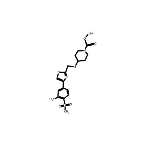 Cc1cc(-c2noc(COC3CCN(C(=O)OC(C)(C)C)CC3)n2)ccc1S(C)(=O)=O